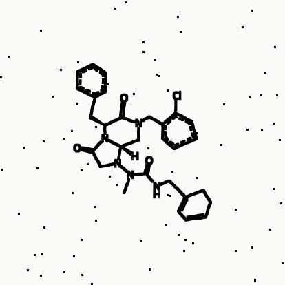 CN(C(=O)NCC1=CC=CCC1)N1CC(=O)N2[C@@H](Cc3ccccc3)C(=O)N(Cc3ccccc3Cl)C[C@@H]21